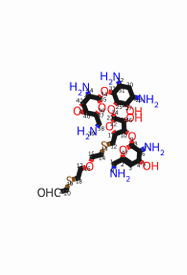 NCC1=CC(O)C(N)C(OC2C(CSCCOCCSCC=O)OC(OC3C(O)C(N)CC(N)C3OC3OC(CN)C4OC4C3N)C2O)O1